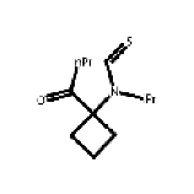 CCCC(=O)C1(N(C=S)C(C)C)CCC1